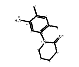 Cc1cc(C)c(N2CCCCC2=O)cc1N